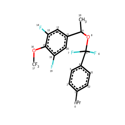 CCCc1ccc(C(F)(F)OC(C)c2cc(F)c(OC(F)(F)F)c(F)c2)cc1